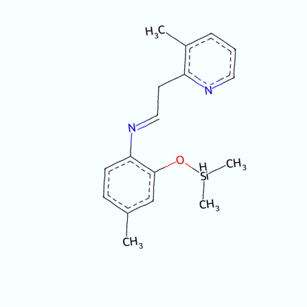 Cc1ccc(N=CCc2ncccc2C)c(O[SiH](C)C)c1